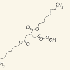 CCCCCCCOC(=O)CC(CSOOO)C(=O)OCCCCCCC